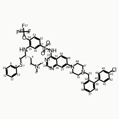 CN(C)CC[C@H](CSc1ccccc1)Nc1cc(S(=O)(=O)Nc2ncnc3cc(N4CCN(Cc5ccccc5-c5ccc(Cl)cc5)CC4)ccc23)ccc1OC(F)(F)F